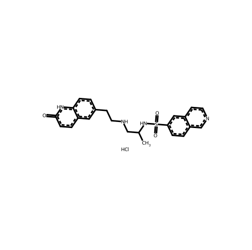 CC(CNCCc1ccc2[nH]c(=O)ccc2c1)NS(=O)(=O)c1ccc2cnccc2c1.Cl